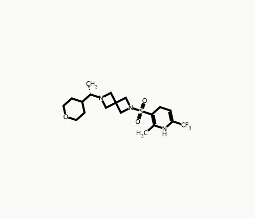 CC1=C(S(=O)(=O)N2CC3(CN([C@@H](C)C4CCOCC4)C3)C2)CC=C(C(F)(F)F)N1